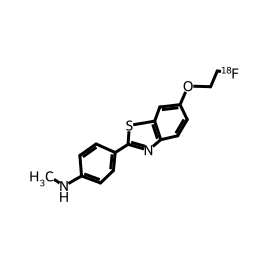 CNc1ccc(-c2nc3ccc(OCC[18F])cc3s2)cc1